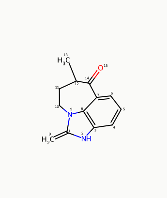 C=C1Nc2cccc3c2N1CCC(C)C3=O